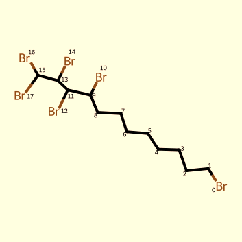 BrCCCCCCCCC(Br)C(Br)C(Br)C(Br)Br